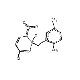 Cc1ccc(C)c(C[N+]2([O-])C=C(Cl)C=CC2=S(=O)=O)c1